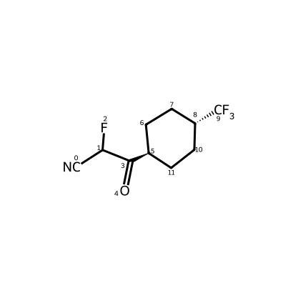 N#CC(F)C(=O)[C@H]1CC[C@H](C(F)(F)F)CC1